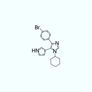 Brc1ccc(-c2ncn(C3CCCCC3)c2-c2cc[nH]c2)cc1